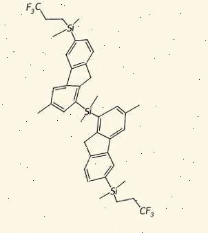 Cc1cc2c(c([Si](C)(C)c3cc(C)cc4c3Cc3ccc([Si](C)(C)CCC(F)(F)F)cc3-4)c1)Cc1ccc([Si](C)(C)CCC(F)(F)F)cc1-2